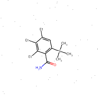 CCc1cc([Si](C)(C)C)c(C(N)=O)c(CC)c1CC